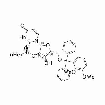 CCCCCCNO[C@@H]1[C@H](O)[C@@H](COC(c2ccccc2)(c2ccccc2)c2cccc(OC)c2OC)O[C@H]1n1ccc(=O)[nH]c1=O